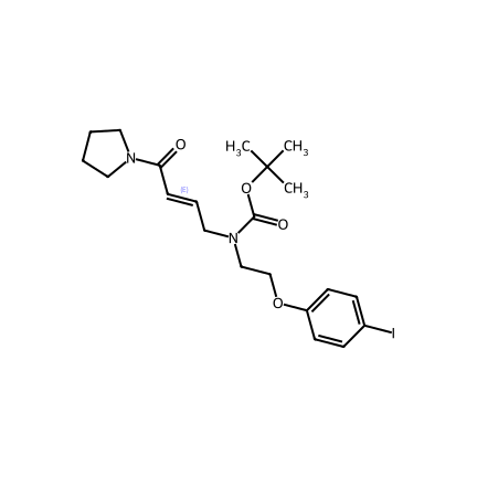 CC(C)(C)OC(=O)N(C/C=C/C(=O)N1CCCC1)CCOc1ccc(I)cc1